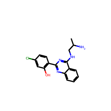 CC(N)CNc1nc(-c2ccc(Cl)cc2O)nc2ccccc12